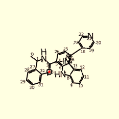 CC(NC(=O)C1=C2Nc3ccccc3C23NCN(c2ccncc2)C3C=C1)c1ccccc1F